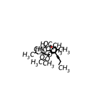 CCCC#Cc1cc(C[C@]2([C@H](CC(C)C)NC(=O)OC(C)(C)C)OC(C)(C)OC2=O)ncc1C